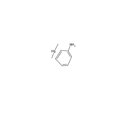 Nc1ccccc1.[CH3][Hg][CH3]